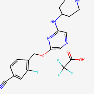 N#Cc1ccc(COc2cncc(NC3CCNCC3)n2)c(F)c1.O=C(O)C(F)(F)F